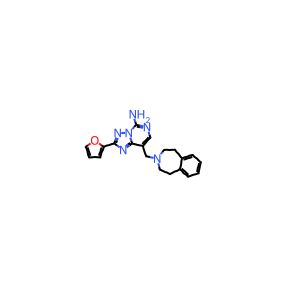 Nc1ncc(CN2CCc3ccccc3CC2)c2nc(-c3ccco3)nn12